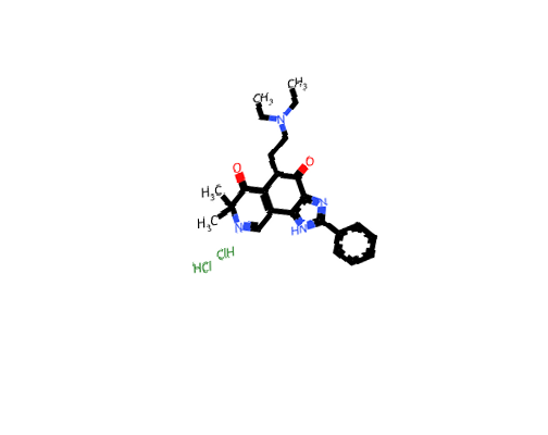 CCN(CC)CCC1C(=O)c2nc(-c3ccccc3)[nH]c2C2=C1C(=O)C(C)(C)N=C2.Cl.Cl